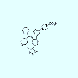 Cc1nnn(C)c1-c1cnc2c3cc(N4CCN(C(=O)O)CC4)ccc3n([C@H](c3ccccc3)C3CCOCC3)c2c1